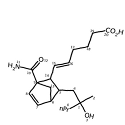 CCCC(C)(O)CC1C2C=CC(C(N)=O)(C2)C1C=CCCCC(=O)O